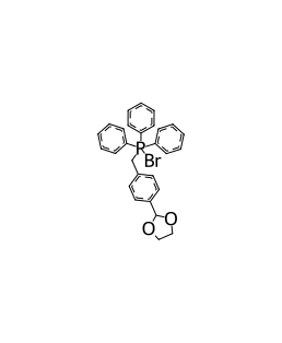 BrP(Cc1ccc(C2OCCO2)cc1)(c1ccccc1)(c1ccccc1)c1ccccc1